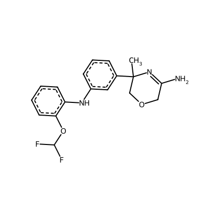 CC1(c2cccc(Nc3ccccc3OC(F)F)c2)COCC(N)=N1